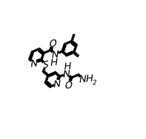 Cc1cc(C)cc(NC(=O)c2cccnc2SCc2ccnc(NC(=O)CN)c2)c1